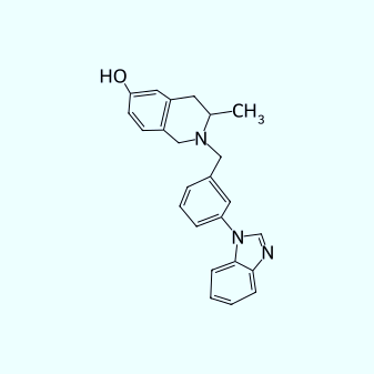 CC1Cc2cc(O)ccc2CN1Cc1cccc(-n2cnc3ccccc32)c1